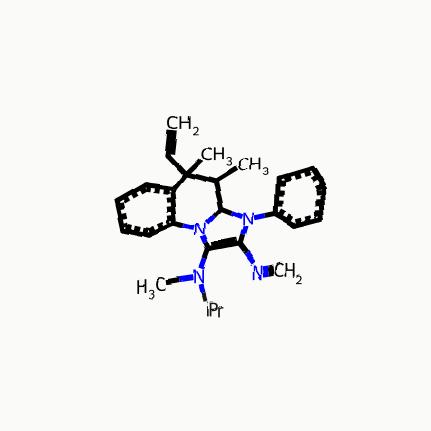 C=CC1(C)c2ccccc2N2C(N(C)C(C)C)=C(N=C)N(c3ccccc3)C2C1C